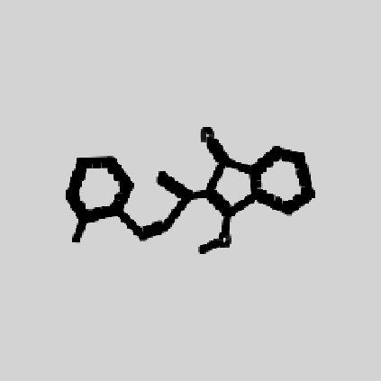 C=C(/C=C\c1ccccc1C)C1=C(OC)c2ccccc2C1=O